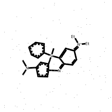 CC[N+](CC)=C1C=CC2=Nc3ccc(N(C)C)cc3[Si](C)(c3ccccc3)C2=C1